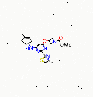 COC(=O)N1CC(Oc2cc(NC3CC=C(C)CC3)nc(-c3nc(C)cs3)n2)C1